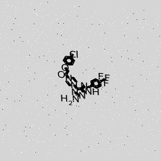 Nc1nc(N2CCN(C(=O)COc3ccc(Cl)cc3)CC2)c2nc(-c3ccc(C(F)(F)F)cc3)[nH]c2n1